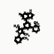 Cc1ncccc1-n1nc(C)c(-c2cc(N3CCOC[C@H]3C)nc(-c3cc(F)cc4[nH]ccc34)n2)c1C